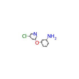 Nc1cccc(Oc2cncc(Cl)c2)c1